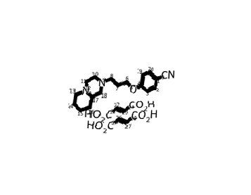 N#Cc1ccc(OCCCN2CCN3CCCCC3C2)cc1.O=C(O)C=CC(=O)O.O=C(O)C=CC(=O)O